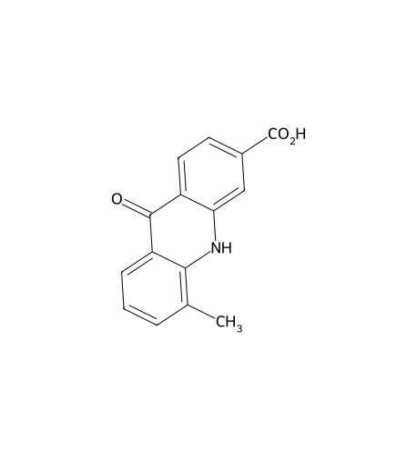 Cc1cccc2c(=O)c3ccc(C(=O)O)cc3[nH]c12